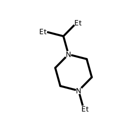 [CH2]CC(CC)N1CCN(CC)CC1